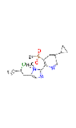 CCS(=O)(=O)c1cc(C2CC2)cnc1-c1ncc(CC(Cl)C(F)(F)F)n1C